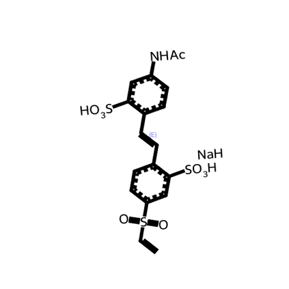 C=CS(=O)(=O)c1ccc(/C=C/c2ccc(NC(C)=O)cc2S(=O)(=O)O)c(S(=O)(=O)O)c1.[NaH]